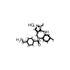 Cc1ccc2c(c1)Nc1c(cnn1C)CN2C(=O)C1CCC(CN)CC1.Cl